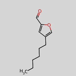 CCCCCCc1coc(C=O)c1